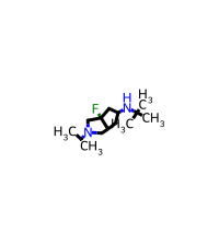 CC(C)N1CC2CC(NC(C)(C)C)CC2(F)C1